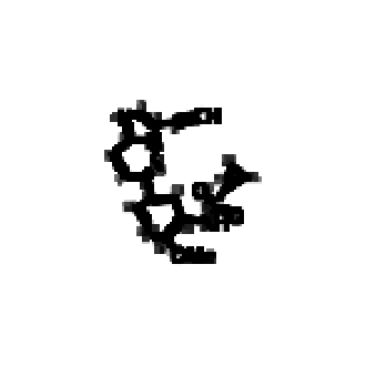 C#Cc1cnc2ccc(-c3cnc(OC)c(NS(=O)(=O)C4CC4)c3)nn12